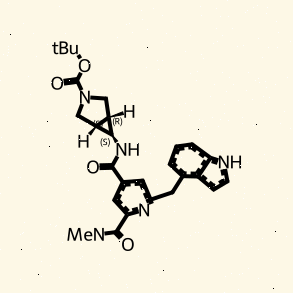 CNC(=O)c1cc(C(=O)N[C@H]2[C@@H]3CN(C(=O)OC(C)(C)C)C[C@@H]32)cc(Cc2cccc3[nH]ccc23)n1